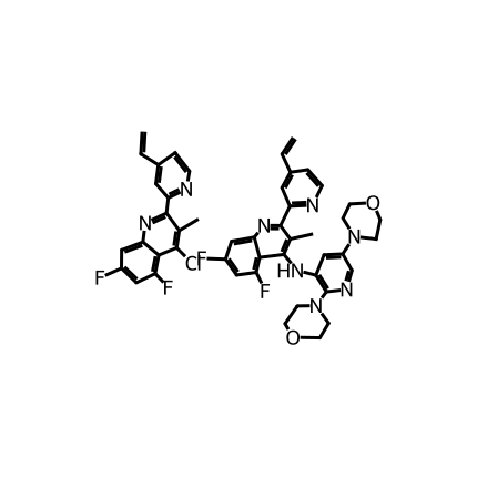 C=Cc1ccnc(-c2nc3cc(F)cc(F)c3c(Cl)c2C)c1.C=Cc1ccnc(-c2nc3cc(F)cc(F)c3c(Nc3cc(N4CCOCC4)cnc3N3CCOCC3)c2C)c1